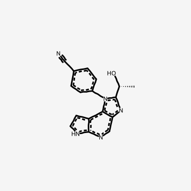 C[C@@H](O)c1nc2cnc3[nH]ccc3c2n1-c1ccc(C#N)cc1